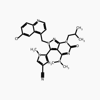 CC(C)Cn1c(=O)nc(N(C)C)c2c(-c3cc(C#N)cn3C)n(Cc3ccnc4ccc(Cl)cc34)nc21